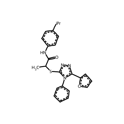 CC(Sc1nnc(-c2ccco2)n1-c1ccccc1)C(=O)Nc1ccc(C(C)C)cc1